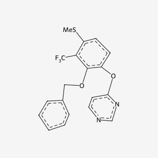 CSc1ccc(Oc2ccncn2)c(OCc2ccccc2)c1C(F)(F)F